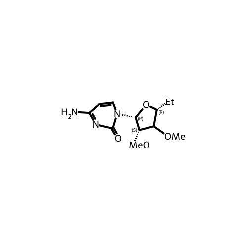 CC[C@H]1O[C@@H](n2ccc(N)nc2=O)[C@@H](OC)C1OC